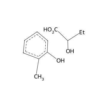 CCC(O)C(=O)O.Cc1ccccc1O